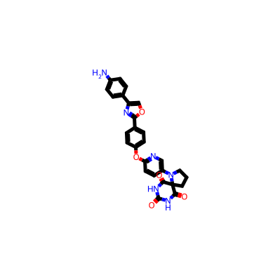 Nc1ccc(-c2coc(-c3ccc(Oc4ccc(N5CCCC56C(=O)NC(=O)NC6=O)cn4)cc3)n2)cc1